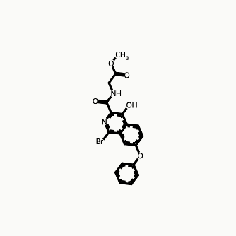 COC(=O)CNC(=O)c1nc(Br)c2cc(Oc3ccccc3)ccc2c1O